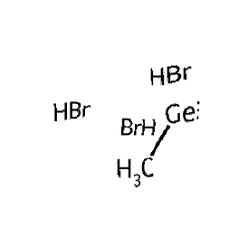 Br.Br.Br.[CH3][Ge]